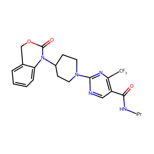 CC(C)NC(=O)c1cnc(N2CCC(N3C(=O)OCc4ccccc43)CC2)nc1C(F)(F)F